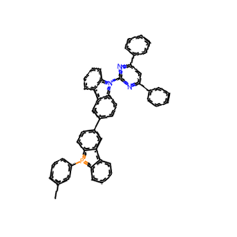 Cc1cccc(-p2c3ccccc3c3cc(-c4ccc5c(c4)c4ccccc4n5-c4nc(-c5ccccc5)cc(-c5ccccc5)n4)ccc32)c1